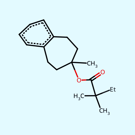 CCC(C)(C)C(=O)OC1(C)CCc2ccccc2CC1